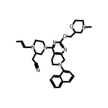 CC=CN1CCN(c2nc(OCC3CN(C)CCO3)nc3c2CCN(c2cccc4ccccc24)C3)CC1CC#N